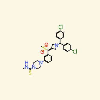 CNC(=S)N1CCN(c2cccc(C(=C3CN(C(c4ccc(Cl)cc4)c4ccc(Cl)cc4)C3)S(C)(=O)=O)c2)CC1